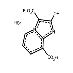 Br.CCOC(=O)c1cccn2c(C(=O)OCC)c(O)nc12